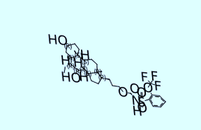 CC[C@H]1[C@@H](O)[C@@H]2[C@H](CC[C@]3(C)[C@@H](CCCOC(=O)NS(=O)(=O)c4ccccc4OC(F)(F)F)CC[C@@H]23)[C@@]2(C)CC[C@@H](O)C[C@@H]12